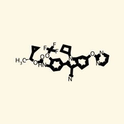 C[C@@H](OC(=O)Nc1ccc(-c2c(C#N)c3ccc(Oc4ncccn4)cc3n2C2CCC2)cc1OC(F)(F)F)C1CC1